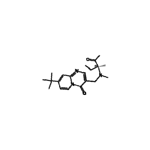 CC[C@@](C)(C(C)=O)N(C)Cc1cnc2cc(C(C)(C)C)ccn2c1=O